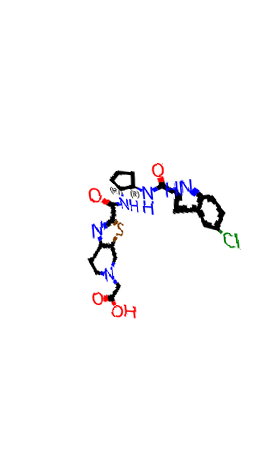 O=C(O)CN1CCC2N=C(C(=O)N[C@@H]3CCC[C@H]3NC(=O)c3cc4cc(Cl)ccc4[nH]3)SC2C1